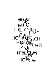 O=CC(O)CO.O=C[C@H](O)[C@@H](O)[C@H](O)[C@H](O)COP(=O)(O)O.O=C[C@H](O)[C@H](O)[C@@H](O)[C@H](O)CO